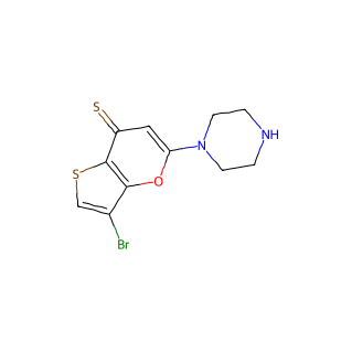 S=c1cc(N2CCNCC2)oc2c(Br)csc12